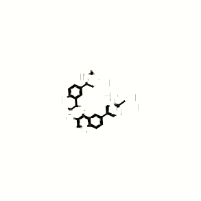 Cc1nc2ccc(-c3cnc(C(C)(C)O)nc3)cc2c(NC(c2cc(C(CO)NC(=O)O)ccc2F)C(F)F)c1Cl